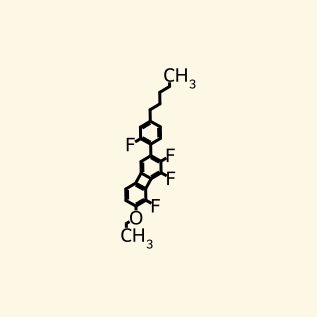 CCCCCc1ccc(-c2cc3c(c(F)c2F)-c2c-3ccc(OCC)c2F)c(F)c1